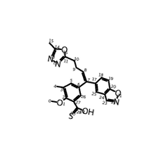 COc1c(C)cc(C(=CCCc2nnc(C)o2)c2ccc3oncc3c2)cc1C(O)=S